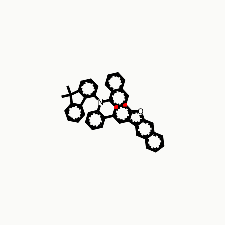 CC1(C)c2ccccc2-c2c(N(c3ccccc3-c3ccc4oc5cc6ccccc6cc5c4c3)c3cccc4ccccc34)cccc21